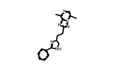 Cc1ncc(C)n2nc(CCC3CNC(c4ccccc4)=N3)nc12